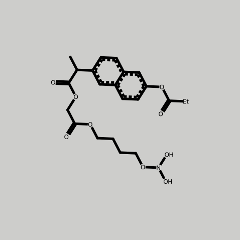 CCC(=O)Oc1ccc2cc(C(C)C(=O)OCC(=O)OCCCCON(O)O)ccc2c1